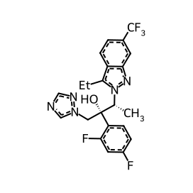 CCc1c2ccc(C(F)(F)F)cc2nn1[C@H](C)[C@](O)(Cn1cncn1)c1ccc(F)cc1F